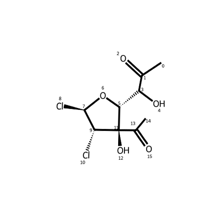 CC(=O)C(O)[C@H]1O[C@H](Cl)[C@@H](Cl)[C@@]1(O)C(C)=O